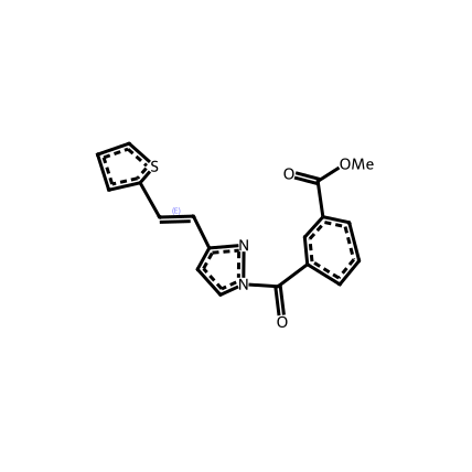 COC(=O)c1cccc(C(=O)n2ccc(/C=C/c3cccs3)n2)c1